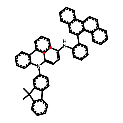 CC1(C)c2ccccc2-c2ccc(N(C3=CC=C(Nc4ccccc4-c4cc5ccccc5c5ccc6ccccc6c45)CC3)c3ccccc3-c3ccccc3)cc21